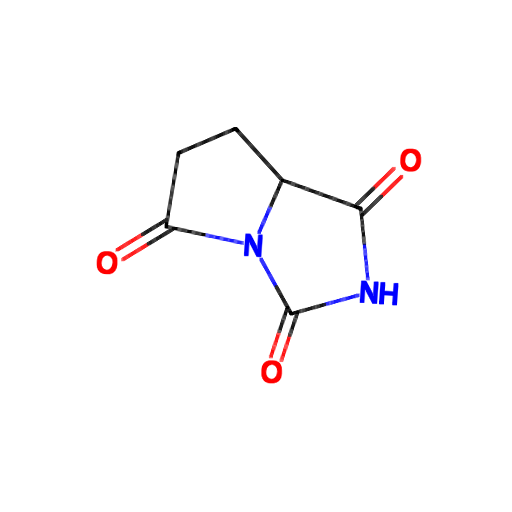 O=C1NC(=O)N2C(=O)CCC12